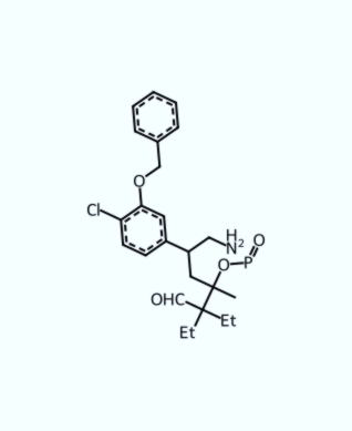 CCC(C=O)(CC)C(C)(CC(CN)c1ccc(Cl)c(OCc2ccccc2)c1)OP=O